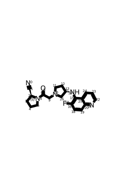 N#C[C@@H]1CCCN1C(=O)CN1CC[C@H](Nc2c(F)ccc3ncccc23)C1